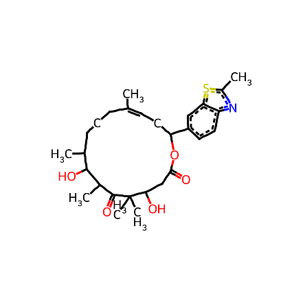 CC1=CCC(c2ccc3nc(C)sc3c2)OC(=O)CC(O)C(C)(C)C(=O)C(C)C(O)C(C)CCC1